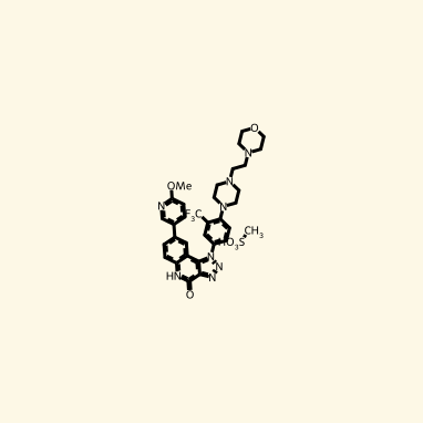 COc1ccc(-c2ccc3[nH]c(=O)c4nnn(-c5ccc(N6CCN(CCN7CCOCC7)CC6)c(C(F)(F)F)c5)c4c3c2)cn1.CS(=O)(=O)O